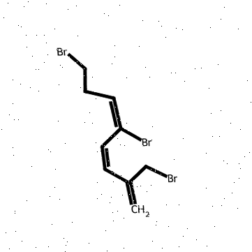 C=C(/C=C\C(Br)=C/CCBr)CBr